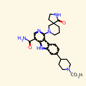 NC(=O)c1cnc(N2CCCC3(CCNC3=O)C2)c2c1[nH]c1cc(C3CCN(C(=O)O)CC3)ccc12